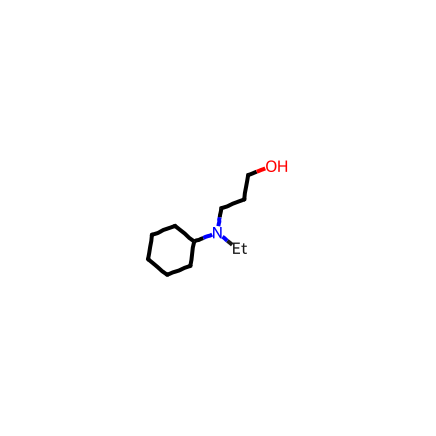 CCN(CCCO)C1CCCCC1